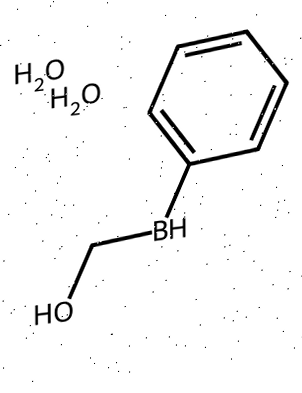 O.O.OCBc1ccccc1